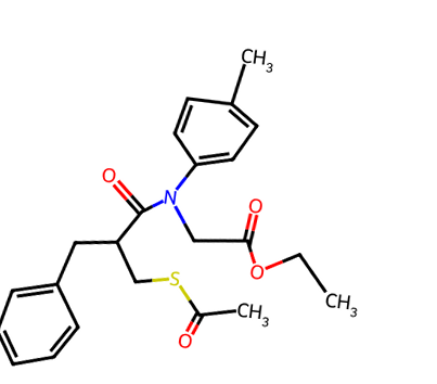 CCOC(=O)CN(C(=O)C(CSC(C)=O)Cc1ccccc1)c1ccc(C)cc1